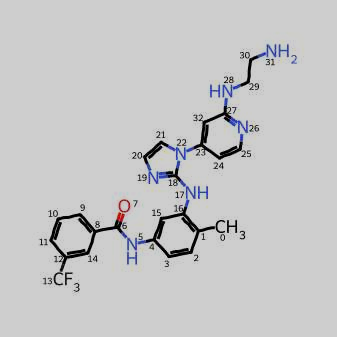 Cc1ccc(NC(=O)c2cccc(C(F)(F)F)c2)cc1Nc1nccn1-c1ccnc(NCCN)c1